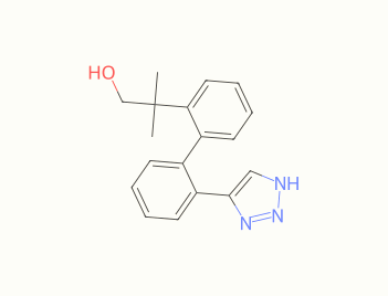 CC(C)(CO)c1ccccc1-c1ccccc1-c1c[nH]nn1